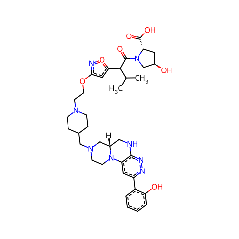 CC(C)C(C(=O)N1C[C@H](O)C[C@H]1C(=O)O)c1cc(OCCN2CCC(CN3CCN4c5cc(-c6ccccc6O)nnc5NC[C@H]4C3)CC2)no1